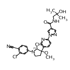 COC1(c2ccc(-n3cc(C(=O)NCC(C)(C)O)cn3)nc2)CCN(c2ccc(C#N)c(Cl)c2)[C@H]1C